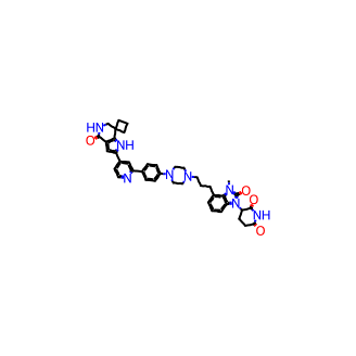 Cn1c(=O)n(C2CCC(=O)NC2=O)c2cccc(CCCN3CCN(c4ccc(-c5cc(-c6cc7c([nH]6)C6(CCC6)CNC7=O)ccn5)cc4)CC3)c21